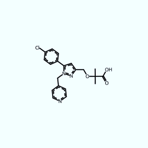 CC(C)(OCc1cc(-c2ccc(Cl)cc2)n(Cc2ccncc2)n1)C(=O)O